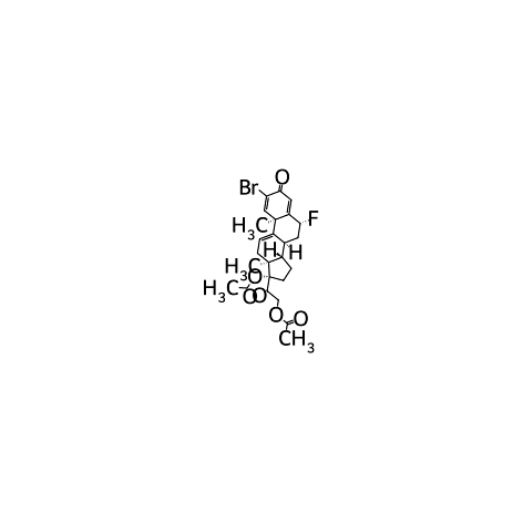 CC(=O)OCC(=O)[C@]1(OC(C)=O)CC[C@H]2[C@@H]3C[C@@H](F)C4=CC(=O)C(Br)=C[C@]4(C)C3=CC[C@@]21C